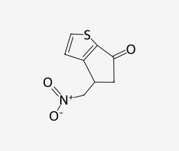 O=C1CC(C[N+](=O)[O-])c2ccsc21